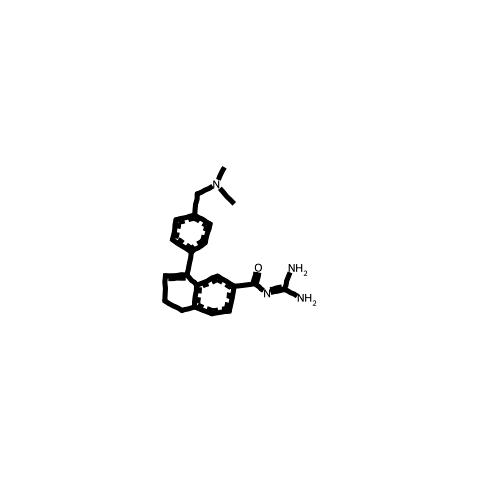 CN(C)Cc1ccc(C2=CCCc3ccc(C(=O)N=C(N)N)cc32)cc1